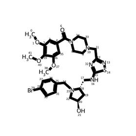 COc1cc(C(=O)N2CCN(Cc3nsc(NC[C@@H]4C[C@@H](O)CN4Cc4ccc(Br)cc4)n3)CC2)cc(OC)c1OC